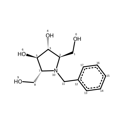 OC[C@@H]1[C@@H](O)[C@H](O)[C@@H](CO)N1Cc1ccccc1